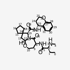 CC[C@H](NC)C(=O)N[C@H]1CCO[C@H]2CC3(CCCC3)[C@@H](C(=O)N[C@@H]3CCOc4ccccc43)N2C1=O